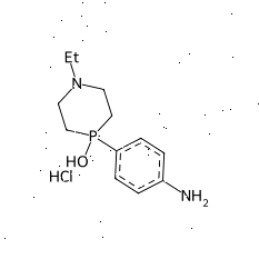 CCN1CC[P](O)(c2ccc(N)cc2)CC1.Cl